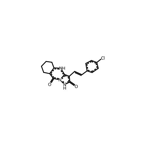 O=c1[nH]n2c(=O)c3c([nH]c2c1/C=C/c1ccc(Cl)cc1)CCCC3